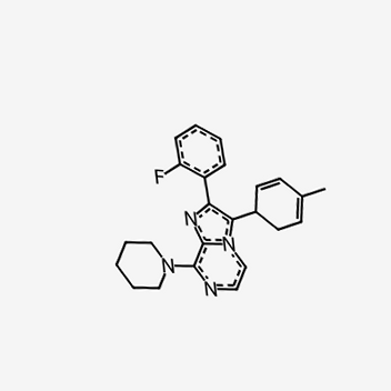 CC1=CCC(c2c(-c3ccccc3F)nc3c(N4CCCCC4)nccn23)C=C1